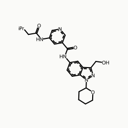 CC(C)CC(=O)Nc1cncc(C(=O)Nc2ccc3c(c2)c(CO)nn3C2CCCCO2)c1